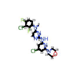 CN(c1ccnc(Nc2cc(Cl)cc(N3CCOCC3)n2)n1)c1ccc(F)c(Cl)c1F